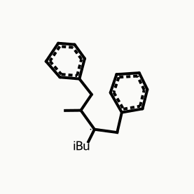 CCC(C)[C](Cc1ccccc1)C(C)Cc1ccccc1